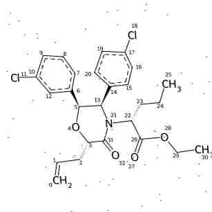 C=CC[C@@H]1O[C@@H](c2cccc(Cl)c2)[C@@H](c2ccc(Cl)cc2)N([C@H](CCC)C(=O)OCC)C1=O